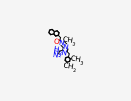 Cc1ccc(C[C@@H](N)CN2C[C@@H](C)N(C(=O)Cc3ccc4ccccc4c3)C[C@@H]2CCCN)c(C)c1